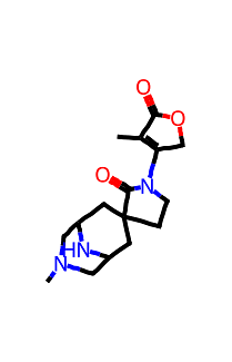 CC1=C(N2CCC3(CC4CN(C)CC(C3)N4)C2=O)COC1=O